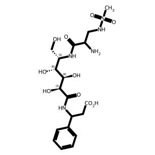 CS(=O)(=O)NCC(N)C(=O)N[C@@H](CO)[C@@H](O)[C@@H](O)[C@H](O)C(=O)NC(CC(=O)O)c1ccccc1